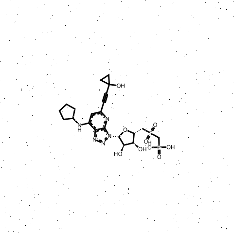 O=P(O)(O)CS(=O)(=O)C[C@H]1O[C@@H](n2nnc3c(NC4CCCC4)cc(C#CC4(O)CC4)nc32)[C@H](O)[C@@H]1O